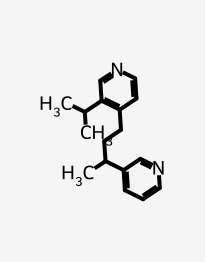 CC(C)c1cnccc1CCC(C)c1cccnc1